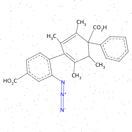 CC1=C(C)C(C(=O)O)(c2ccccc2)C(C)C(C)=C1c1ccc(C(=O)O)cc1N=[N+]=[N-]